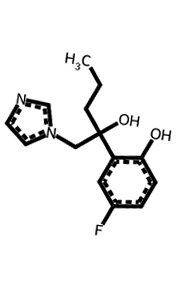 CCCC(O)(Cn1ccnc1)c1cc(F)ccc1O